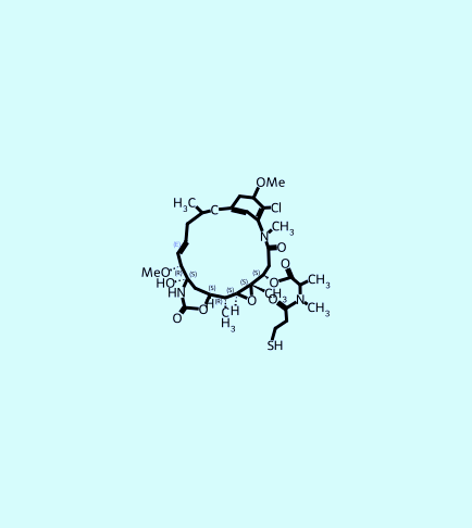 COC1CC2=CC(=C1Cl)N(C)C(=O)C[C@H](OC(=O)C(C)N(C)C(=O)CCS)[C@]1(C)O[C@H]1[C@H](C)[C@@H]1C[C@@](O)(NC(=O)O1)[C@H](OC)/C=C/CC(C)C2